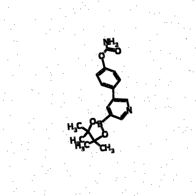 CC1(C)OB(c2cncc(-c3ccc(OC(N)=O)cc3)c2)OC1(C)C